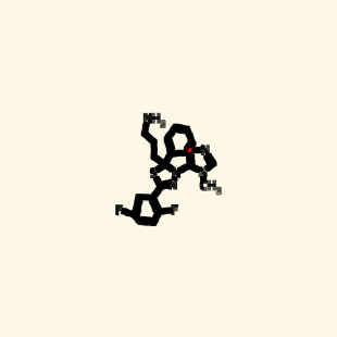 Cn1cnnc1N1N=C(c2cc(F)ccc2F)SC1(CCCN)c1ccccc1